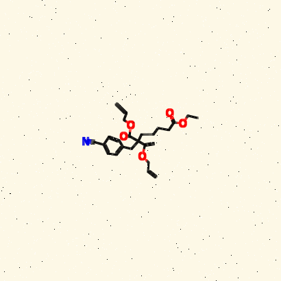 C=CCOC(=C)C(CCCCC(=O)OCC)(Cc1ccc(C#N)cc1)C(=O)OCC=C